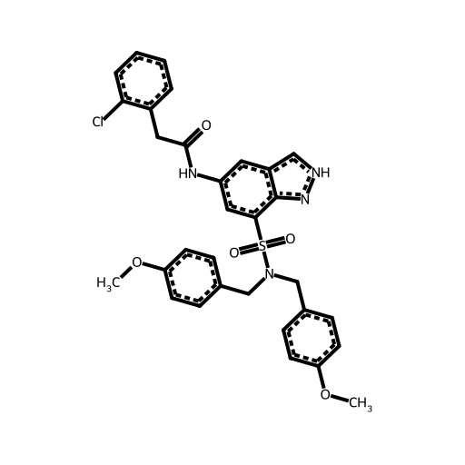 COc1ccc(CN(Cc2ccc(OC)cc2)S(=O)(=O)c2cc(NC(=O)Cc3ccccc3Cl)cc3c[nH]nc23)cc1